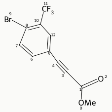 COC(=O)C#Cc1ccc(Br)c(C(F)(F)F)c1